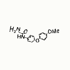 COc1ccc(Oc2ccc(NC(=O)CN)cc2)cc1